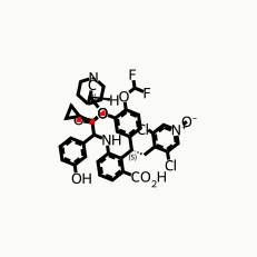 O=C(O)c1cccc(NC(C(=O)O[C@H]2CN3CCC2CC3)c2cccc(O)c2)c1[C@@H](Cc1c(Cl)c[n+]([O-])cc1Cl)c1ccc(OC(F)F)c(OCC2CC2)c1